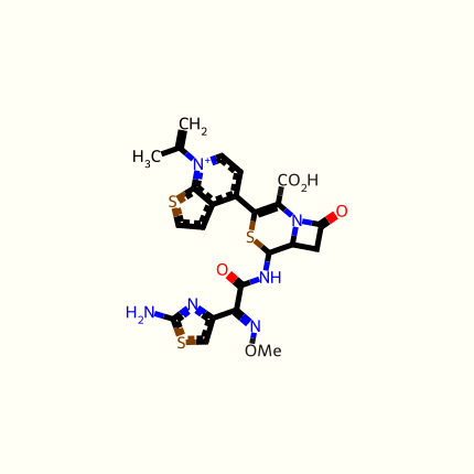 C=C(C)[n+]1ccc(C2=C(C(=O)O)N3C(=O)CC3C(NC(=O)C(=NOC)c3csc(N)n3)S2)c2ccsc21